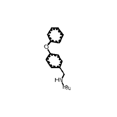 CCCCNCc1ccc(Oc2ccccc2)cc1